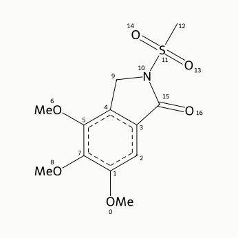 COc1cc2c(c(OC)c1OC)CN(S(C)(=O)=O)C2=O